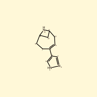 C1=C(c2cn[nH]c2)CCC2CC(C1)N2